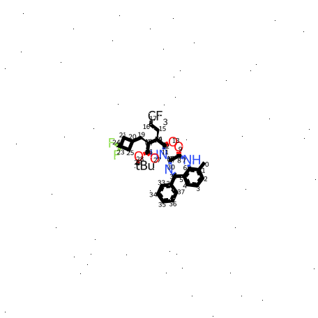 Cc1cccc2c1NC(=O)[C@@H](NC(=O)[C@H](CCC(F)(F)F)[C@H](CC1CC(F)(F)C1)C(=O)OC(C)(C)C)N=C2c1ccccc1